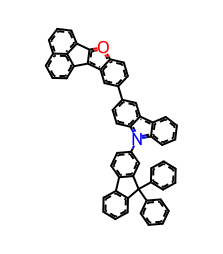 c1ccc(C2(c3ccccc3)c3ccccc3-c3ccc(-n4c5ccccc5c5cc(-c6ccc7oc8c(c7c6)-c6cccc7cccc-8c67)ccc54)cc32)cc1